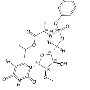 [2H]c1cn([C@@H]2O[C@H](C([2H])([2H])O[P@@](=O)(N[C@@H](C)C(=O)OC(C)C)Oc3ccccc3)[C@@H](O)[C@H]2OC)c(=O)[nH]c1=O